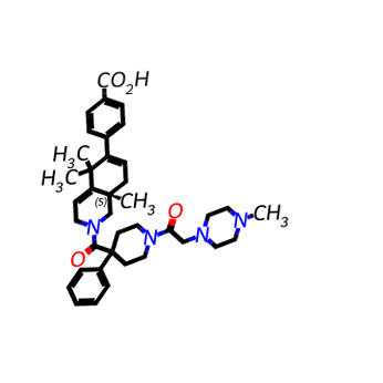 CN1CCN(CC(=O)N2CCC(C(=O)N3CC=C4C(C)(C)C(c5ccc(C(=O)O)cc5)=CC[C@]4(C)C3)(c3ccccc3)CC2)CC1